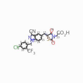 N#Cc1nn(Cc2ccc(Cl)cc2C(F)(F)F)c2ccc(/C=C3\SC(=O)N(CC(=O)O)C3=O)cc12